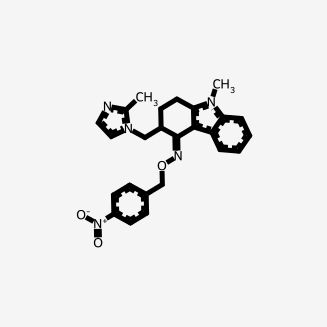 Cc1nccn1CC1CCc2c(c3ccccc3n2C)/C1=N/OCc1ccc([N+](=O)[O-])cc1